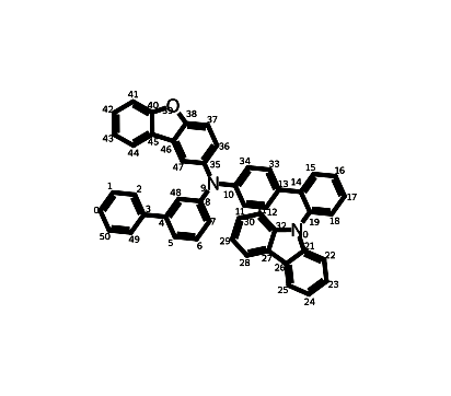 c1ccc(-c2cccc(N(c3ccc(-c4ccccc4-n4c5ccccc5c5ccccc54)cc3)c3ccc4oc5ccccc5c4c3)c2)cc1